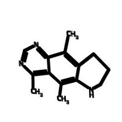 Cc1c2c(c(C)c3c(C)ncnc13)NCCC2